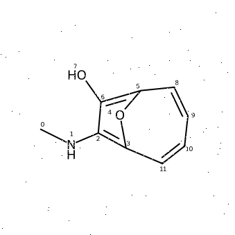 CNc1c2oc(c1O)C=CC=C2